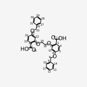 O=C(O)c1ccc(OCc2ccccc2)cc1OCCOc1cc(OCc2ccccc2)ccc1C(=O)O